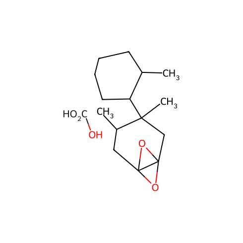 CC1CCCCC1C1(C)CC23OC2(CC1C)O3.O=C(O)O